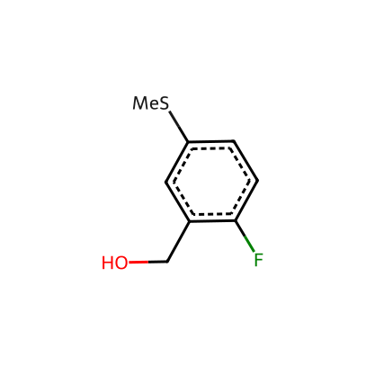 CSc1ccc(F)c(CO)c1